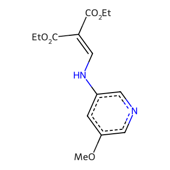 CCOC(=O)C(=CNc1cncc(OC)c1)C(=O)OCC